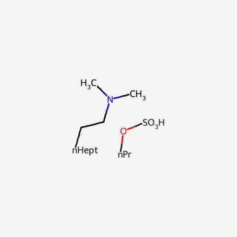 CCCCCCCCCN(C)C.CCCOS(=O)(=O)O